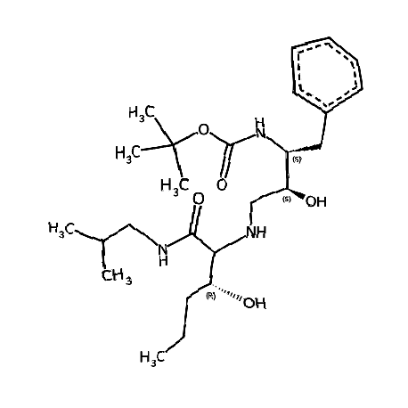 CCC[C@@H](O)C(NC[C@H](O)[C@H](Cc1ccccc1)NC(=O)OC(C)(C)C)C(=O)NCC(C)C